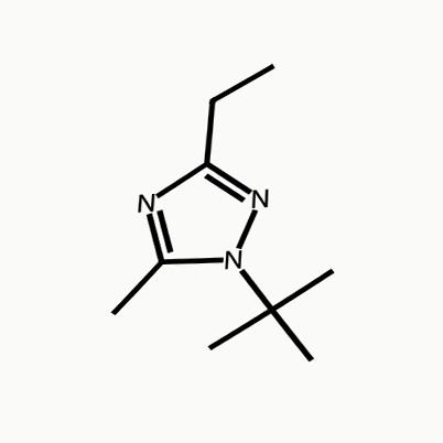 CCc1nc(C)n(C(C)(C)C)n1